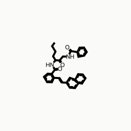 CCCCC(NC(=O)c1ccccc1C=Cc1ccc2ccccc2c1)C(=O)CNC(=O)c1ccccc1